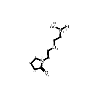 CCN(CCOCCN1CCCC1=O)C(C)=O